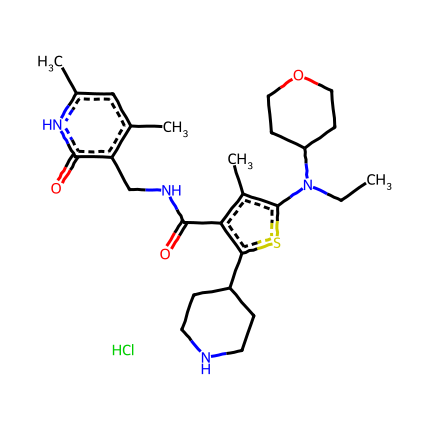 CCN(c1sc(C2CCNCC2)c(C(=O)NCc2c(C)cc(C)[nH]c2=O)c1C)C1CCOCC1.Cl